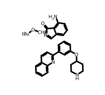 CC(C)(C)OC=O.Nc1cccc2c1C(=O)N=C2.c1cc(OC2CCNCC2)cc(-c2ccc3ccccc3n2)c1